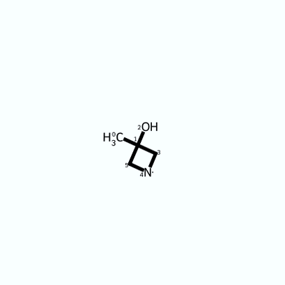 CC1(O)C[N]C1